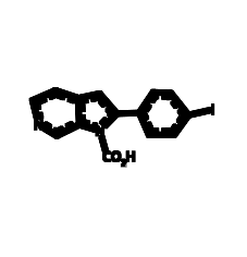 O=C(O)n1c(-c2ccc(I)cc2)cc2ccncc21